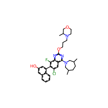 CC1CCC(C)CN(c2nc(OCCCN3CCOCC3C)nc3c(F)c(-c4cc(O)cc5ccccc45)c(Cl)cc23)C1